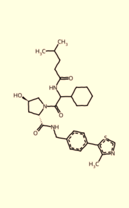 Cc1ncsc1-c1ccc(CNC(=O)[C@@H]2C[C@@H](O)CN2C(=O)C(NC(=O)CCC(C)C)C2CCCCC2)cc1